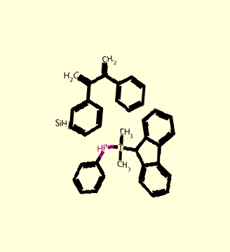 C=C(C(=C)c1ccccc1)c1ccccc1.[CH3][Ti]([CH3])([PH]c1ccccc1)[CH]1c2ccccc2-c2ccccc21.[SiH4]